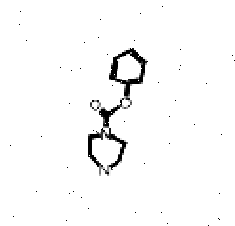 O=C(Oc1ccccc1)N1CC[N]CC1